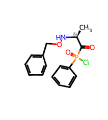 C[C@H](NOCc1ccccc1)C(=O)P(=O)(Cl)c1ccccc1